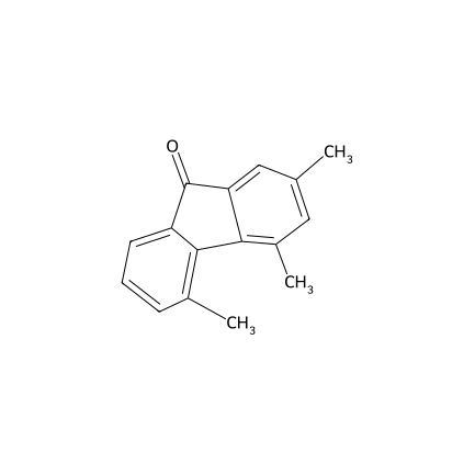 Cc1cc(C)c2c(c1)C(=O)c1cccc(C)c1-2